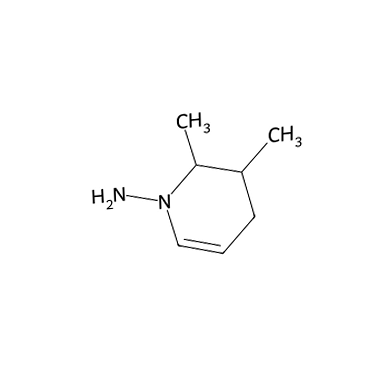 CC1CC=CN(N)C1C